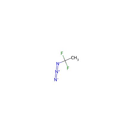 CC(F)(F)N=[N+]=[N-]